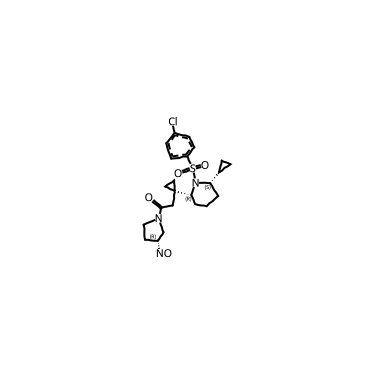 O=N[C@@H]1CCN(C(=O)CC2([C@H]3CCC[C@@H](C4CC4)N3S(=O)(=O)c3ccc(Cl)cc3)CC2)C1